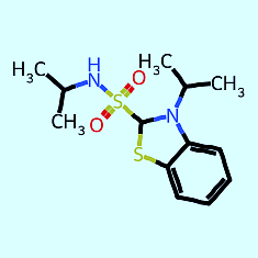 CC(C)NS(=O)(=O)C1Sc2ccccc2N1C(C)C